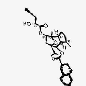 C#CC[C@@H](O)C(=O)O[C@@H]1CC2(C(C)C)O[C@@]1(C)[C@@H]1CC[C@@H](C)[C@H]1C2OC(=O)c1ccc2ccccc2c1